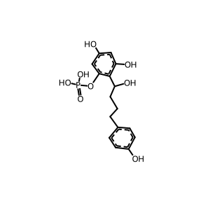 O=P(O)(O)Oc1cc(O)cc(O)c1C(O)CCCc1ccc(O)cc1